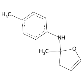 Cc1ccc(NC2(C)CC=CO2)cc1